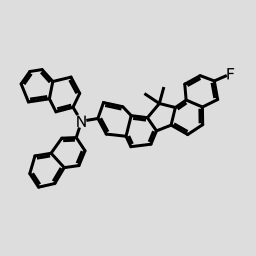 CC1(C)c2c(ccc3cc(F)ccc23)-c2ccc3cc(N(c4ccc5ccccc5c4)c4ccc5ccccc5c4)ccc3c21